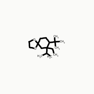 CCC1(C(C)C)CC2(CCC1C(C)(C)C)OCCO2